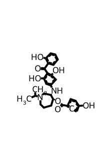 CC(C)N1CCC[C@H](OC(=O)c2ccc(O)cc2)[C@@H](Nc2cc(O)c(C(=O)c3ccccc3O)c(O)c2)C1